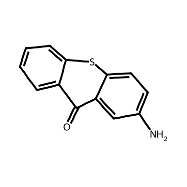 Nc1ccc2sc3ccccc3c(=O)c2c1